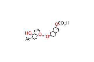 CCCc1c(OCCOc2ccc3ccc(OC(=O)O)cc3c2)ccc(C(C)=O)c1O